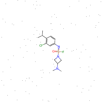 CC(C)c1ccc(N=S(=O)(F)N2CC(N(C)C)C2)cc1Cl